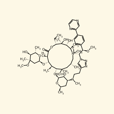 CC[C@H]1OC(=O)[C@H](C)[C@@H](O[C@H]2C[C@@](C)(OC)[C@@H](O)[C@H](C)O2)[C@H](C)[C@@H](O[C@@H]2O[C@H](C)C[C@H](N(C)CCc3cn([C@H](CF)[C@H](OC)c4ccc(-c5cnccn5)cc4)nn3)[C@H]2O)[C@](C)(O)C[C@@H](C)CN(C)[C@H](C)[C@@H](O)[C@]1(C)O